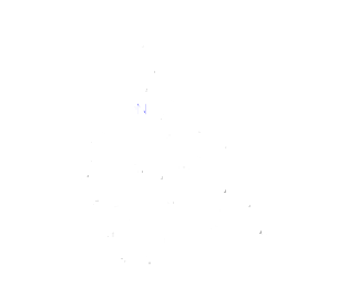 c1ccc(-c2ccc(-c3cccc(N(c4ccccc4)c4ccc5ccc6c7ccccc7ccc6c5c4)c3)cc2)cc1